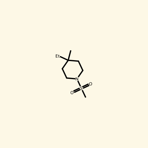 CCC1(C)CCN(S(C)(=O)=O)CC1